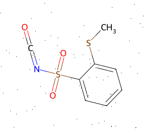 CSc1ccccc1S(=O)(=O)N=C=O